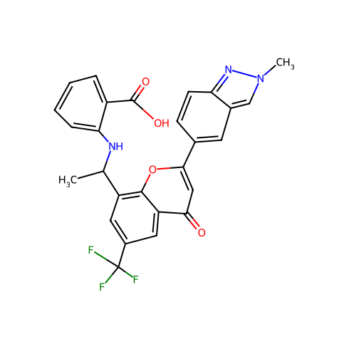 CC(Nc1ccccc1C(=O)O)c1cc(C(F)(F)F)cc2c(=O)cc(-c3ccc4nn(C)cc4c3)oc12